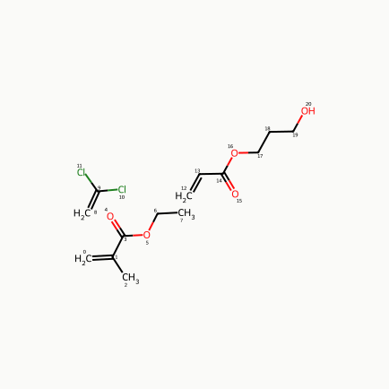 C=C(C)C(=O)OCC.C=C(Cl)Cl.C=CC(=O)OCCCO